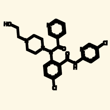 O=C(Nc1ccc(Cl)cn1)c1cc(Cl)ccc1N(C(=O)c1cccnc1)N1CCN(CCO)CC1